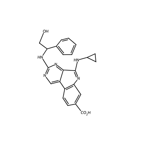 O=C(O)c1ccc2c(c1)nc(NC1CC1)c1nc(NC(CO)c3ccccc3)ncc12